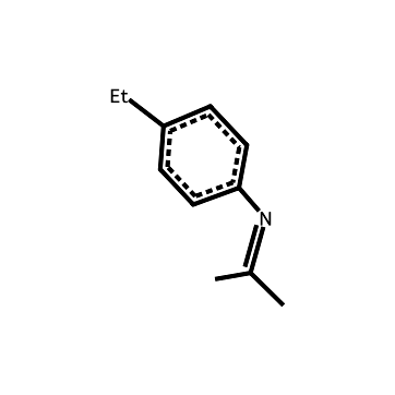 CCc1ccc(N=C(C)C)cc1